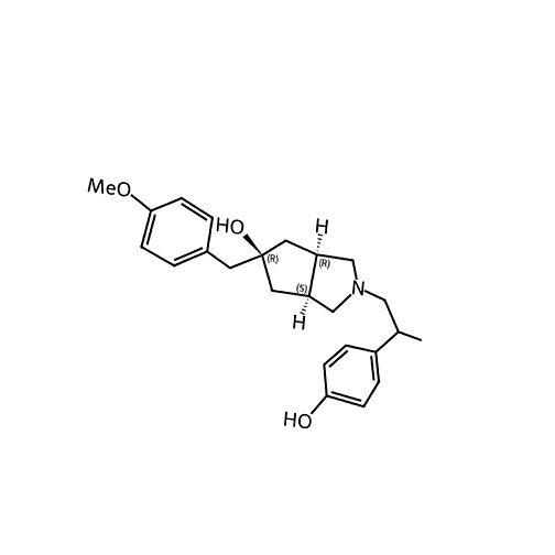 COc1ccc(C[C@]2(O)C[C@H]3CN(CC(C)c4ccc(O)cc4)C[C@H]3C2)cc1